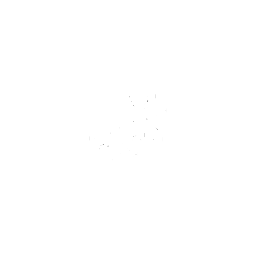 OC[C@H]1O[C@H](O[C@H]2O[C@H](CO)[C@@H](O)[C@H](O)[C@@H]2S)[C@@H](O)[C@@H](O)[C@@H]1O